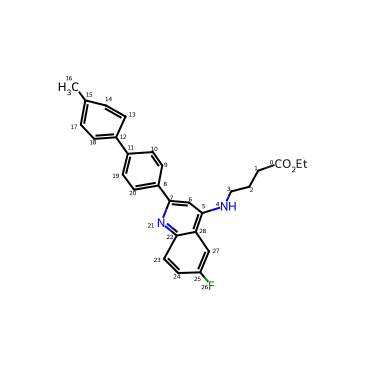 CCOC(=O)CCCNc1cc(-c2ccc(-c3ccc(C)cc3)cc2)nc2ccc(F)cc12